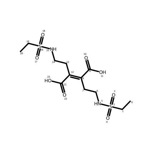 CCS(=O)(=O)NCC/C(C(=O)O)=C(/CCNS(=O)(=O)CC)C(=O)O